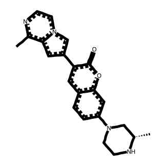 Cc1nccn2cc(-c3cc4ccc(N5CCN[C@@H](C)C5)cc4oc3=O)cc12